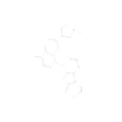 Cc1cc2c(c(-c3ncc(C)c4ccc(C5CCC(F)(F)C5)cc34)c1)Cc1ccccc1-2